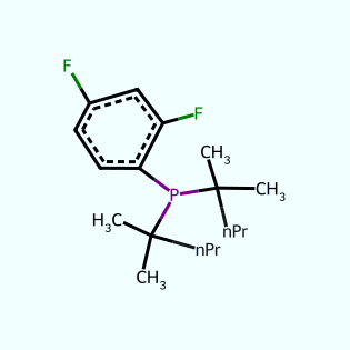 CCCC(C)(C)P(c1ccc(F)cc1F)C(C)(C)CCC